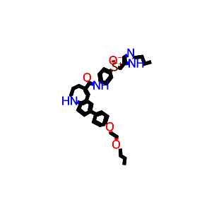 CCCCOCCOc1ccc(-c2ccc3c(c2)C=C(C(=O)Nc2ccc([S+]([O-])Cc4cnc(CCC)[nH]4)cc2)CCCN3)cc1